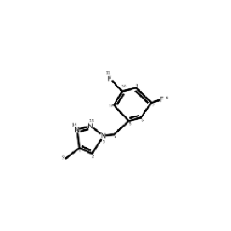 [CH2]c1cn(Cc2cc(F)cc(F)c2)nn1